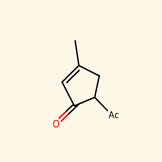 CC(=O)C1CC(C)=CC1=O